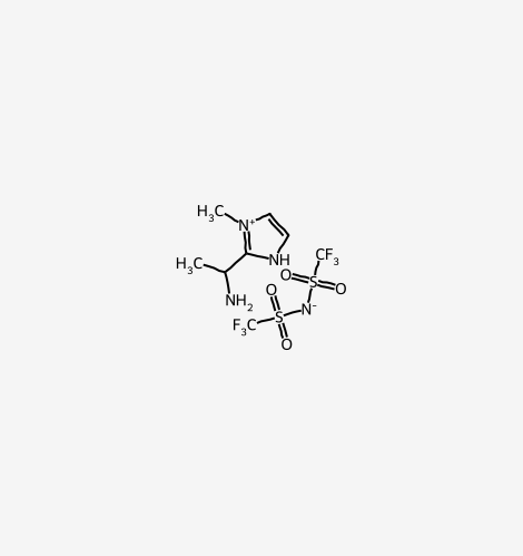 CC(N)c1[nH]cc[n+]1C.O=S(=O)([N-]S(=O)(=O)C(F)(F)F)C(F)(F)F